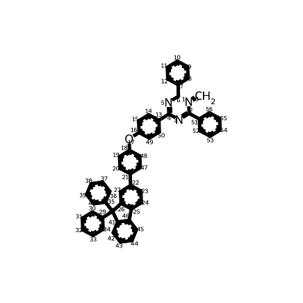 C=N/C(=N\C(=N/Cc1ccccc1)c1ccc(Oc2ccc(-c3ccc4c(c3)C(c3ccccc3)(c3ccccc3)c3ccccc3-4)cc2)cc1)c1ccccc1